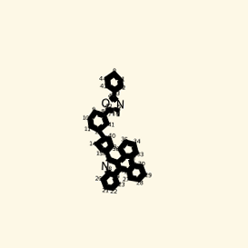 c1ccc(-c2nnc(-c3cccc(-c4ccc(-c5nc6ccccc6c6c7ccccc7c7ccccc7c56)cc4)c3)o2)cc1